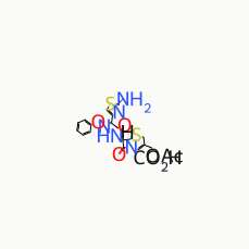 CC(=O)OCC1=C(C(=O)O)N2C(=O)[C@@H](NC(=O)C(=NOc3ccccc3)c3csc(N)n3)[C@H]2SC1